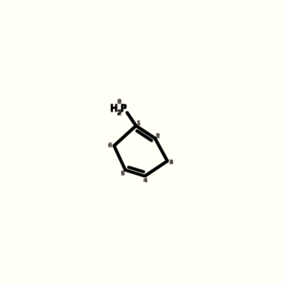 PC1=CCC=CC1